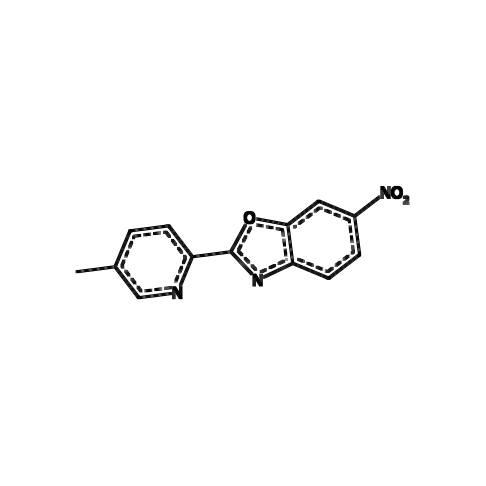 Cc1ccc(-c2nc3ccc([N+](=O)[O-])cc3o2)nc1